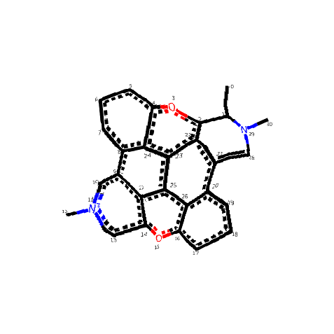 CC1c2oc3cccc4c5c[n+](C)cc6oc7cccc8c(c2c(c34)c(c78)c65)=CN1C